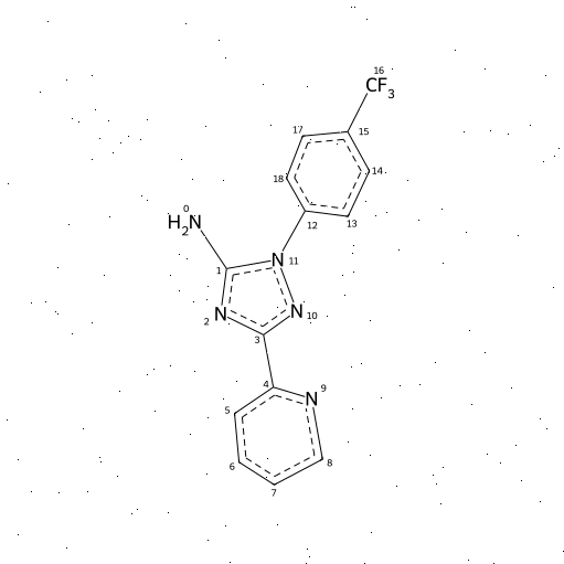 Nc1nc(-c2ccccn2)nn1-c1ccc(C(F)(F)F)cc1